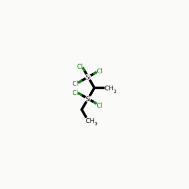 CC[Si](Cl)(Cl)C(C)[Si](Cl)(Cl)Cl